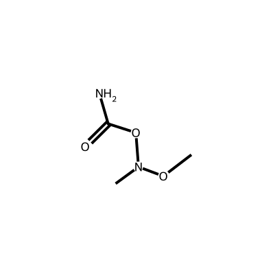 CON(C)OC(N)=O